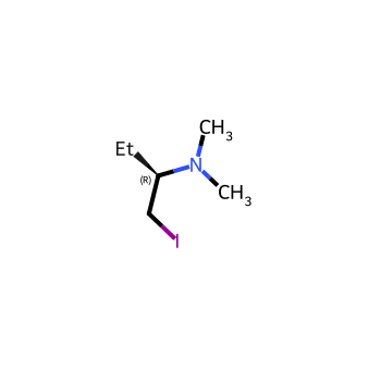 CC[C@H](CI)N(C)C